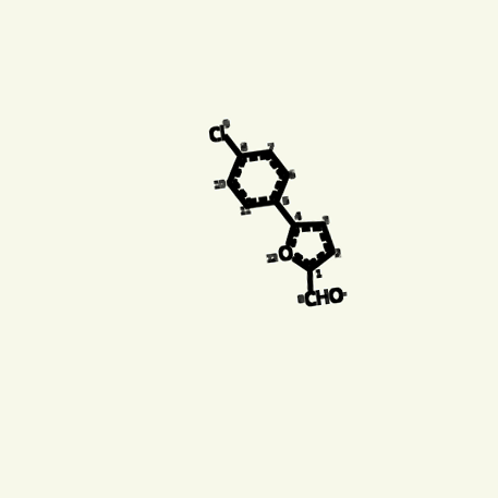 O=[C]c1ccc(-c2ccc(Cl)cc2)o1